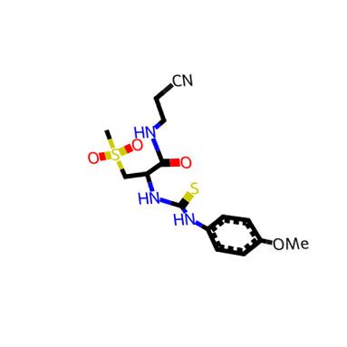 COc1ccc(NC(=S)NC(CS(C)(=O)=O)C(=O)NCCC#N)cc1